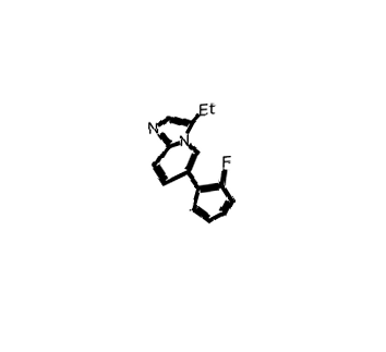 CCc1cnc2ccc(-c3[c]cccc3F)cn12